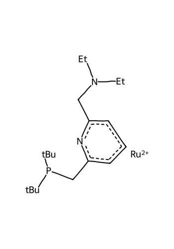 CCN(CC)Cc1cccc(CP(C(C)(C)C)C(C)(C)C)n1.[Ru+2]